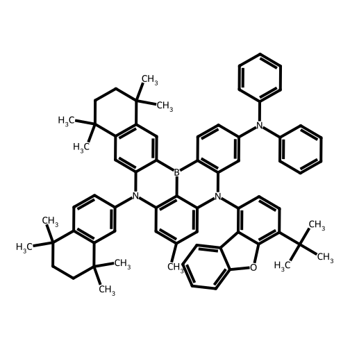 Cc1cc2c3c(c1)N(c1ccc(C(C)(C)C)c4oc5ccccc5c14)c1cc(N(c4ccccc4)c4ccccc4)ccc1B3c1cc3c(cc1N2c1ccc2c(c1)C(C)(C)CCC2(C)C)C(C)(C)CCC3(C)C